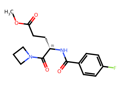 COC(=O)CC[C@H](NC(=O)c1ccc(F)cc1)C(=O)N1CCC1